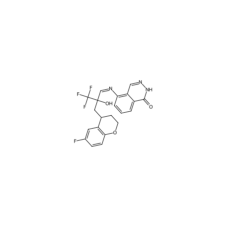 O=c1[nH]ncc2c(/N=C\C(O)(CC3CCOc4ccc(F)cc43)C(F)(F)F)cccc12